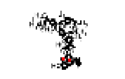 CC(C)Cc1ccc(C(C)C(=O)O)cc1.CC(CN1c2ccccc2Sc2ccccc21)N(C)C.CC[C@@H](c1cccc(O)c1)[C@@H](C)CN(C)C.O=C(O)c1cccnc1.O=C1CC[C@@]2(O)[C@H]3Cc4ccc(O)c5c4[C@@]2(CCN3CC2CC2)[C@H]1O5